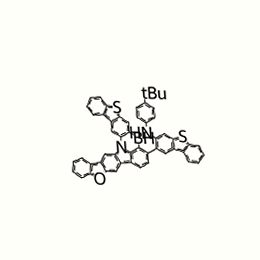 CC(C)(C)c1ccc(Nc2cc3sc4ccccc4c3cc2-c2ccc3c4cc5oc6ccccc6c5cc4n4c3c2Bc2cc3sc5ccccc5c3cc2-4)cc1